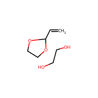 C=CC1OCCO1.OCCO